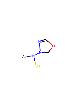 CC(=O)N(S)N1COC=N1